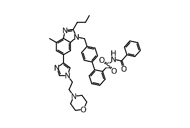 CCCc1nc2c(C)cc(-c3cn(CCN4CCOCC4)cn3)cc2n1Cc1ccc(-c2ccccc2S(=O)(=O)NC(=O)c2ccccc2)cc1